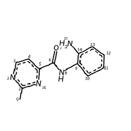 Cc1nccc(C(=O)Nc2ccccc2N)n1